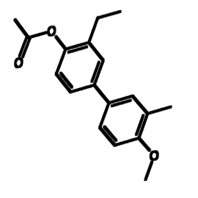 CCc1cc(-c2ccc(OC)c(C)c2)ccc1OC(C)=O